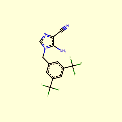 N#Cc1ncn(Cc2cc(C(F)(F)F)cc(C(F)(F)F)c2)c1N